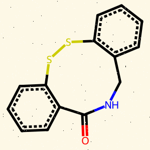 O=C1NCc2ccccc2SSc2ccccc21